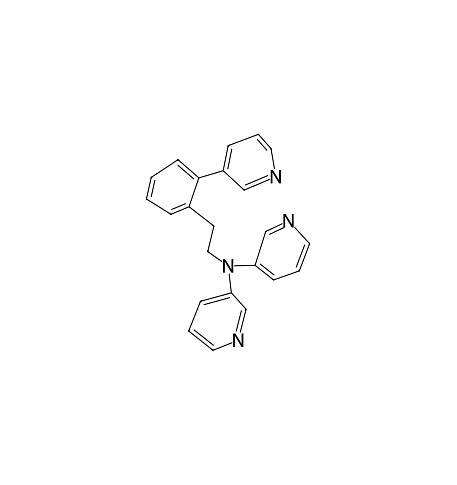 c1cncc(-c2ccccc2CCN(c2cccnc2)c2cccnc2)c1